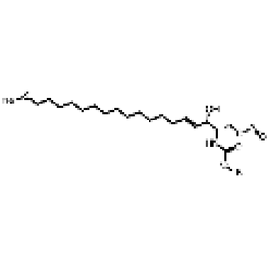 CC(C)(C)OC(=O)N[C@@H](COP=O)[C@H](O)/C=C/CCCCCCCCCCCCCSC(C)(C)C